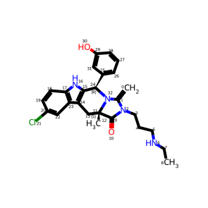 C=C1N(CCCNCC)C(=O)[C@]2(C)Cc3c([nH]c4ccc(Cl)cc34)[C@@H](c3cccc(O)c3)N12